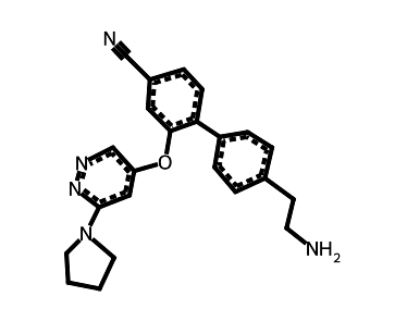 N#Cc1ccc(-c2ccc(CCN)cc2)c(Oc2cnnc(N3CCCC3)c2)c1